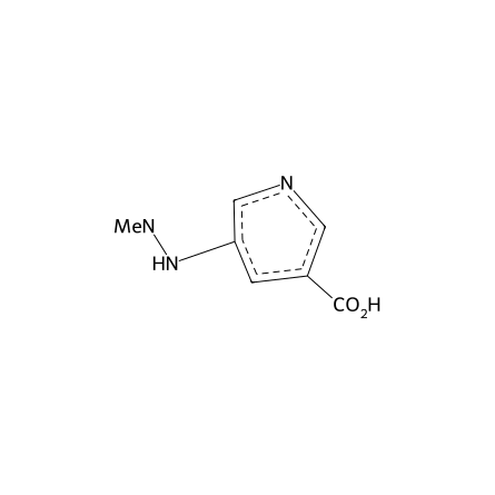 CNNc1cncc(C(=O)O)c1